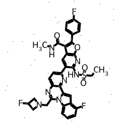 CCS(=O)(=O)Nc1nc2oc(-c3ccc(F)cc3)c(C(=O)NC)c2cc1-c1ccc2nc(CN3CC(F)C3)n3c4cccc(F)c4cc3c2n1